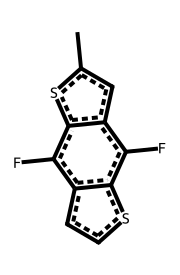 Cc1cc2c(F)c3sccc3c(F)c2s1